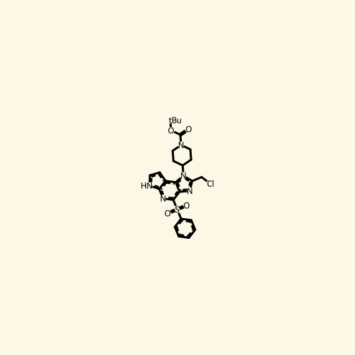 CC(C)(C)OC(=O)N1CCC(n2c(CCl)nc3c(S(=O)(=O)c4ccccc4)nc4[nH]ccc4c32)CC1